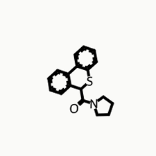 O=C(C1Sc2ccccc2-c2ccccc21)N1CCCC1